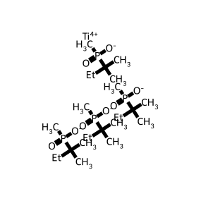 CCC(C)(C)P(C)(=O)[O-].CCC(C)(C)P(C)(=O)[O-].CCC(C)(C)P(C)(=O)[O-].CCC(C)(C)P(C)(=O)[O-].[Ti+4]